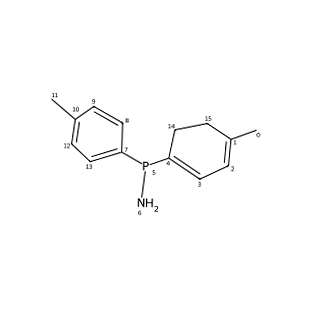 CC1=CC=C(P(N)c2ccc(C)cc2)CC1